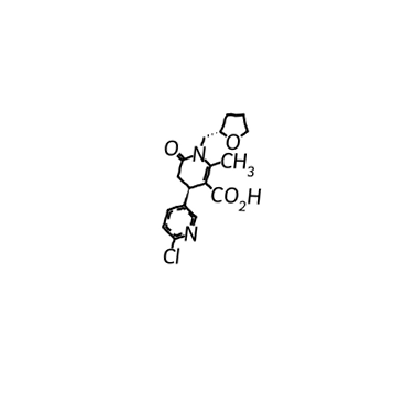 CC1=C(C(=O)O)[C@@H](c2ccc(Cl)nc2)CC(=O)N1C[C@@H]1CCCO1